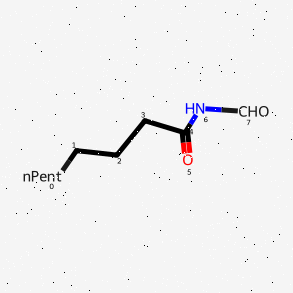 CCCCCCCCC(=O)NC=O